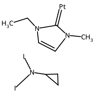 CCn1ccn(C)[c]1=[Pt].IN(I)C1CC1